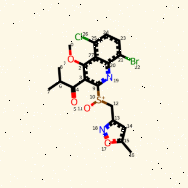 COc1c(C(=O)C(C)C)c([S+]([O-])Cc2cc(C)on2)nc2c(Br)ccc(Cl)c12